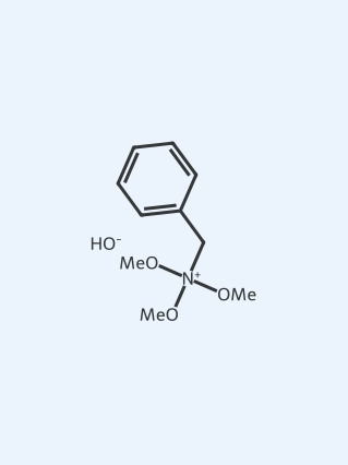 CO[N+](Cc1ccccc1)(OC)OC.[OH-]